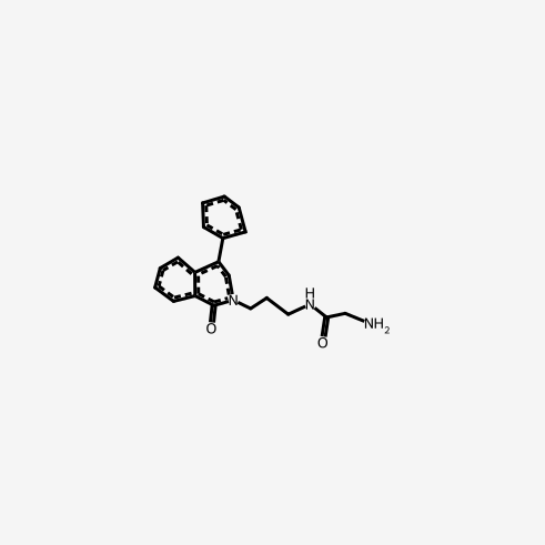 NCC(=O)NCCCn1cc(-c2ccccc2)c2ccccc2c1=O